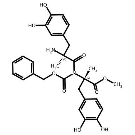 COC(=O)[C@](C)(Cc1ccc(O)c(O)c1)N(C(=O)OCc1ccccc1)C(=O)[C@@](C)(N)Cc1ccc(O)c(O)c1